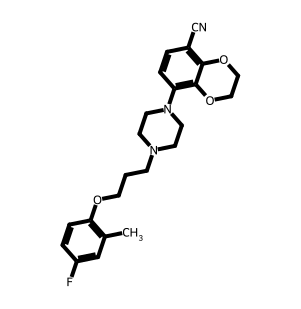 Cc1cc(F)ccc1OCCCN1CCN(c2ccc(C#N)c3c2OCCO3)CC1